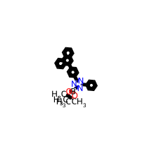 CC1(C)OB(c2nc(-c3ccccc3)nc(-c3ccc(-c4cc5ccccc5c5ccccc45)cc3)n2)OC1(C)C